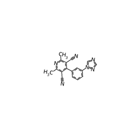 Cc1nc(C)c(C#N)c(-c2cccc(-n3cncn3)c2)c1C#N